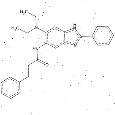 CCN(CC)c1cc2[nH]c(-c3ccccc3)nc2cc1NC(=O)CCc1ccccc1